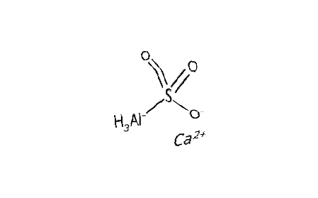 O=[S](=O)([O-])[AlH3-].[Ca+2]